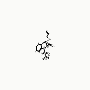 C=CCON1C(=O)N2CC1c1ccccc1N2S(=O)(=O)NC